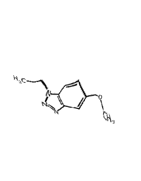 CCn1nnc2cc(OC)ccc21